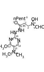 CCCCC[C@H](CN(O)C=O)C(=O)NNc1ncc(N(C)C)c(C)n1